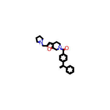 C=C(c1ccccc1)c1ccc(C(=O)N2CCc3cc(CN4CCCC4)oc3C2)cc1